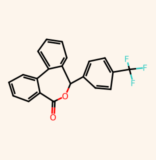 O=C1OC(c2ccc(C(F)(F)F)cc2)c2ccccc2-c2ccccc21